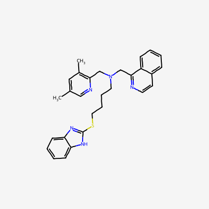 Cc1cnc(CN(CCCCSc2nc3ccccc3[nH]2)Cc2nccc3ccccc23)c(C)c1